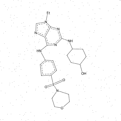 CCn1cnc2c(Nc3ccc(S(=O)(=O)N4CCOCC4)cc3)nc(NC3CCC(O)CC3)nc21